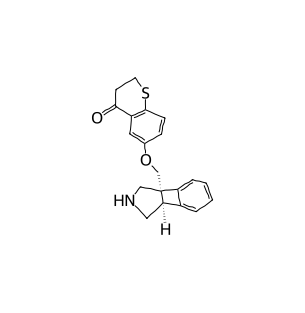 O=C1CCSc2ccc(OC[C@@]34CNC[C@@H]3c3ccccc34)cc21